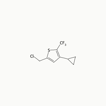 FC(F)(F)c1sc(CCl)cc1C1CC1